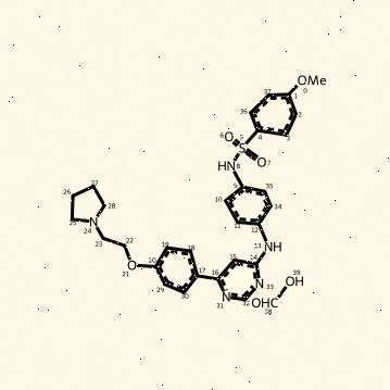 COc1ccc(S(=O)(=O)Nc2ccc(Nc3cc(-c4ccc(OCCN5CCCC5)cc4)ncn3)cc2)cc1.O=CO